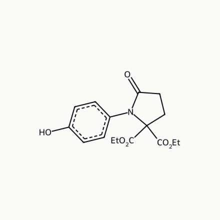 CCOC(=O)C1(C(=O)OCC)CCC(=O)N1c1ccc(O)cc1